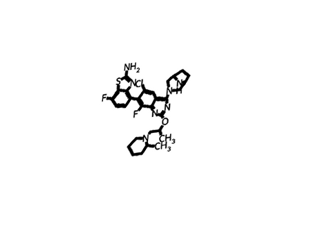 CC(CN1CCCCC1C)Oc1nc(N2CC3CCC(C2)N3)c2cc(Cl)c(-c3ccc(F)c4sc(N)nc34)c(F)c2n1